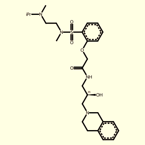 CC(C)N(C)CCN(C)S(=O)(=O)c1ccccc1OCC(=O)NC[C@@H](O)CN1CCc2ccccc2C1